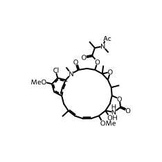 COc1cc2cc(c1Cl)N(C)C(=O)CC(OC(=O)C(C)N(C)C(C)=O)C1(C)OC1C(C)C1CC(O)(NC(=O)O1)C(OC)/C=C\C=C(\C)C2